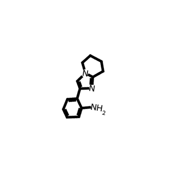 Nc1ccccc1-c1cn2c(n1)CCCC2